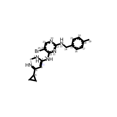 CN/C(=C\C(=N)C1CC1)Nc1nc(NCc2ccc(C)cc2)ncc1Br